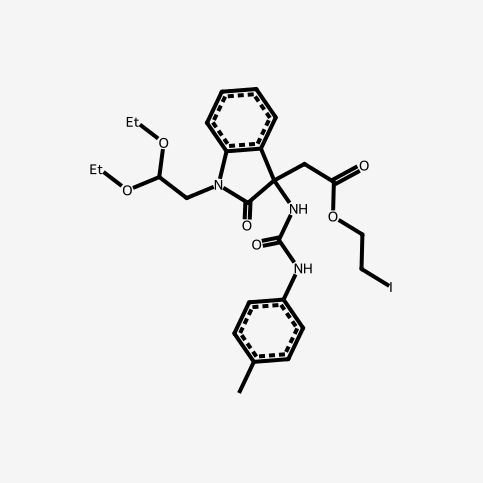 CCOC(CN1C(=O)C(CC(=O)OCCI)(NC(=O)Nc2ccc(C)cc2)c2ccccc21)OCC